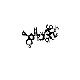 CN1CCc2c(cc(Nc3ncc(Cl)c(N4CC(C)(C(=O)O)c5cc(F)ccc54)n3)cc2C2CC2)C1